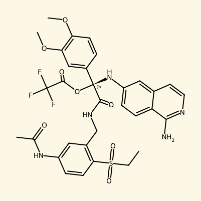 CCS(=O)(=O)c1ccc(NC(C)=O)cc1CNC(=O)[C@](Nc1ccc2c(N)nccc2c1)(OC(=O)C(F)(F)F)c1ccc(OC)c(OC)c1